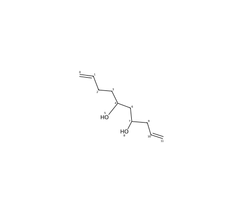 C=CCCC(O)CC(O)CC=C